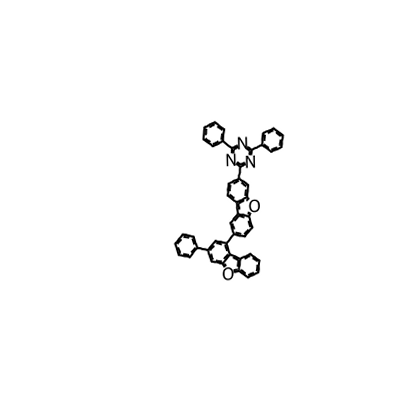 c1ccc(-c2cc(-c3ccc4oc5cc(-c6nc(-c7ccccc7)nc(-c7ccccc7)n6)ccc5c4c3)c3c(c2)oc2ccccc23)cc1